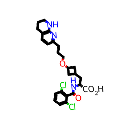 O=C(NC(CC1CC(OCCCc2ccc3c(n2)NCCC3)C1)C(=O)O)c1c(Cl)cccc1Cl